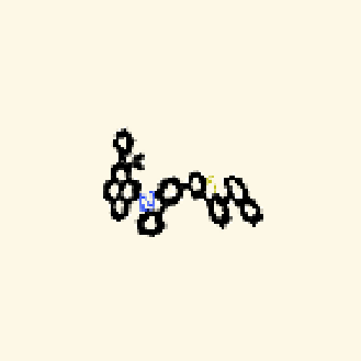 C[Si]1(C)c2ccccc2-c2cc3ccc4cccc5c(-n6c7ccccc7c7cc(-c8ccc9sc%10c(-c%11cccc%12ccccc%11%12)cccc%10c9c8)ccc76)cc(c21)c3c45